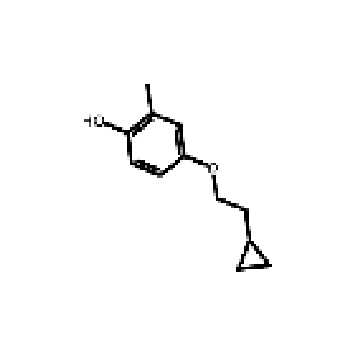 Cc1cc(OCCC2CC2)ccc1O